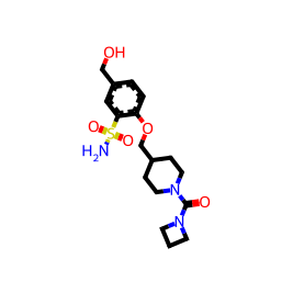 NS(=O)(=O)c1cc(CO)ccc1OCC1CCN(C(=O)N2CCC2)CC1